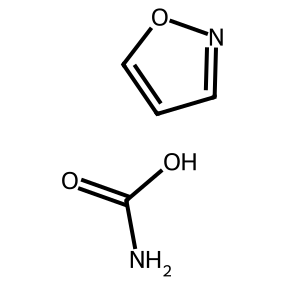 NC(=O)O.c1cnoc1